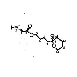 C=CC(=O)OCCCCC1([SiH3])CCCCO1